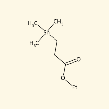 CCOC(=O)C[CH2][Sn]([CH3])([CH3])[CH3]